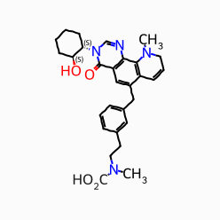 CN(CCc1cccc(Cc2cc3c(=O)n([C@H]4CCCC[C@@H]4O)cnc3c3c2C=CCN3C)c1)C(=O)O